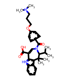 CC(C)C1N(C(=O)c2ccc(OCCCN(C)C)cc2)C=C(C(=O)O)c2[nH]c3ccccc3c2C1(C)C